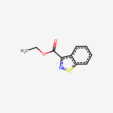 CCOC(=O)c1nsc2ccccc12